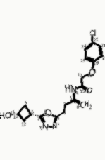 C=C(CCc1nnc([C@H]2C[C@@H](O)C2)o1)NC(=O)COc1ccc(Cl)cc1